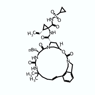 C=C[C@@H]1C[C@]1(NC(=O)[C@@H]1C[C@@H]2CN1C(=O)[C@H](CCCC)NC(=O)NC(C)(C)CC/C=C/c1cccc3c1CN(C3)C(=O)O2)C(=O)NS(=O)(=O)C1CC1